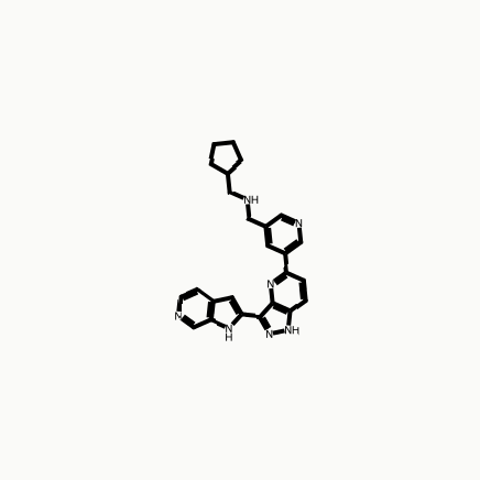 c1cc2cc(-c3n[nH]c4ccc(-c5cncc(CNCC6CCCC6)c5)nc34)[nH]c2cn1